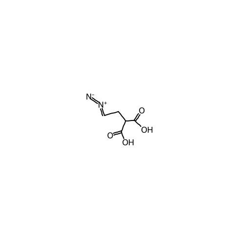 [N-]=[N+]=CCC(C(=O)O)C(=O)O